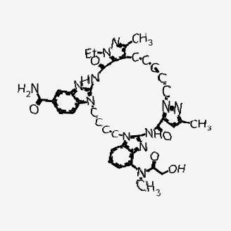 CCn1nc(C)c2c1C(=O)Nc1nc3cc(C(N)=O)ccc3n1CCCCn1c(nc3c(N(C)C(=O)CO)cccc31)NC(=O)c1cc(C)nn1CCCCC2